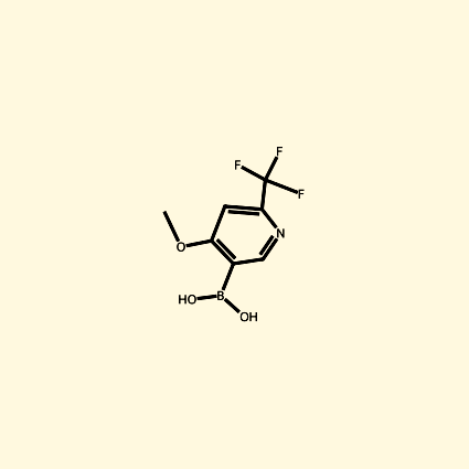 COc1cc(C(F)(F)F)ncc1B(O)O